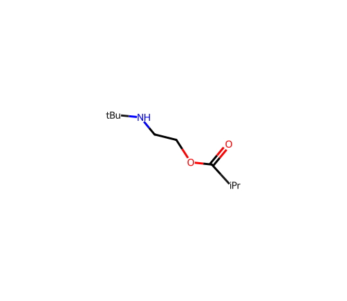 CC(C)C(=O)OCCNC(C)(C)C